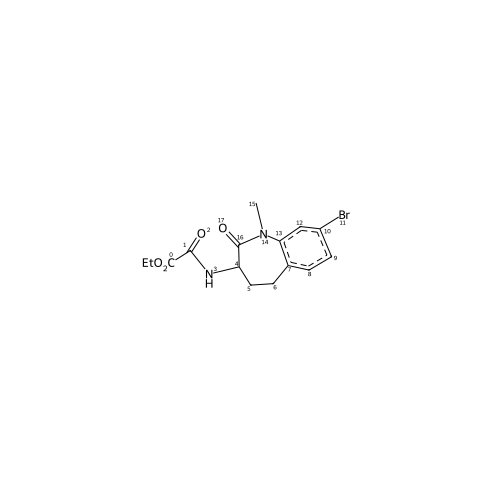 CCOC(=O)C(=O)NC1CCc2ccc(Br)cc2N(C)C1=O